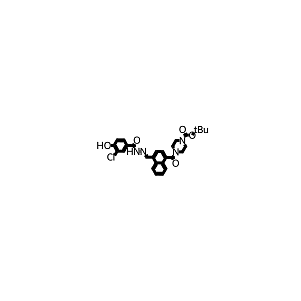 CC(C)(C)OC(=O)N1CCN(C(=O)c2ccc(/C=N/NC(=O)c3ccc(O)c(Cl)c3)c3ccccc23)CC1